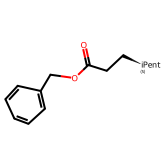 CCC[C@H](C)CCC(=O)OCc1ccccc1